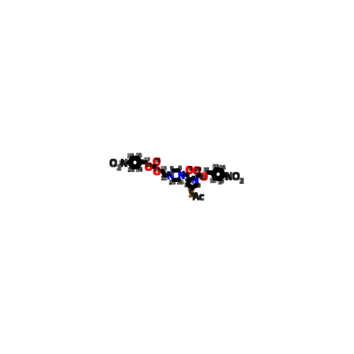 CC(=O)S[C@H]1C[C@H](C(=O)N2CCN(CCOC(=O)OCc3ccc([N+](=O)[O-])cc3)CC2)N(C(=O)OCc2ccc([N+](=O)[O-])cc2)C1